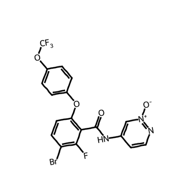 O=C(Nc1ccn[n+]([O-])c1)c1c(Oc2ccc(OC(F)(F)F)cc2)ccc(Br)c1F